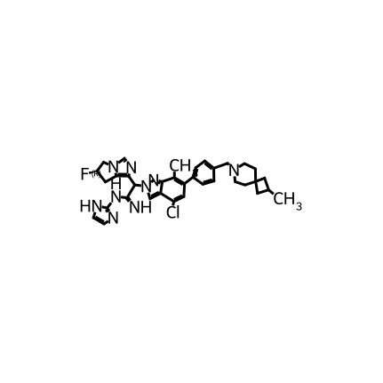 Cc1c(-c2ccc(CN3CCC4(CC3)CC(C)C4)cc2)cc(Cl)c2cn(C(C(=N)Nc3ncc[nH]3)c3ncn4c3C[C@@H](F)C4)nc12